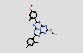 CCOC1=NC2=NC(c3ccc(C)cc3C)=NC3=NC(c4ccc(OC)cc4C)=NC(=N1)N23